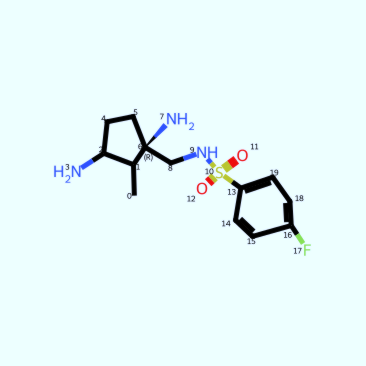 CC1C(N)CC[C@]1(N)CNS(=O)(=O)c1ccc(F)cc1